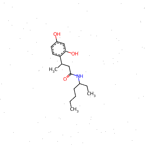 CCCCC(CC)NC(=O)CC(C)c1ccc(O)cc1O